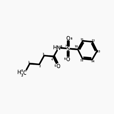 CCCCC(=O)NS(=O)(=O)c1cc[c]cc1